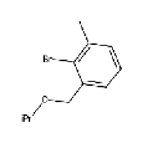 Cc1cccc(COC(C)C)c1Br